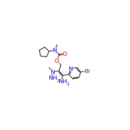 CN(N)/C(COC(=O)N(C)C1CCCC1)=C(\N)c1ccc(Br)cn1